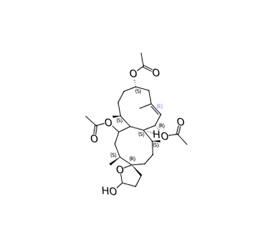 CC(=O)OC1C[C@H](C)[C@]2(CCC(O)O2)CC[C@H](C)[C@H]2C1[C@@H](C)CC[C@H](OC(C)=O)C/C(C)=C/[C@@H]2OC(C)=O